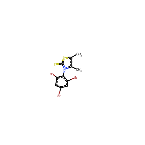 Cc1sc(=S)n(-c2c(Br)cc(Br)cc2Br)c1C